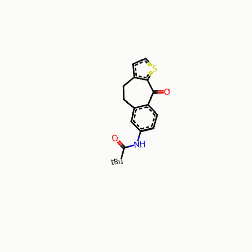 CC(C)(C)C(=O)Nc1ccc2c(c1)CCc1ccsc1C2=O